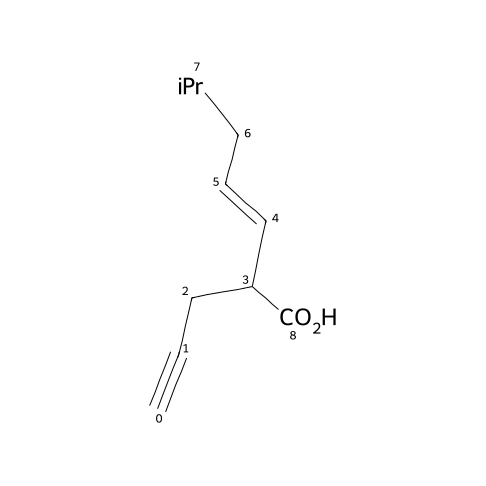 C#CCC(C=CCC(C)C)C(=O)O